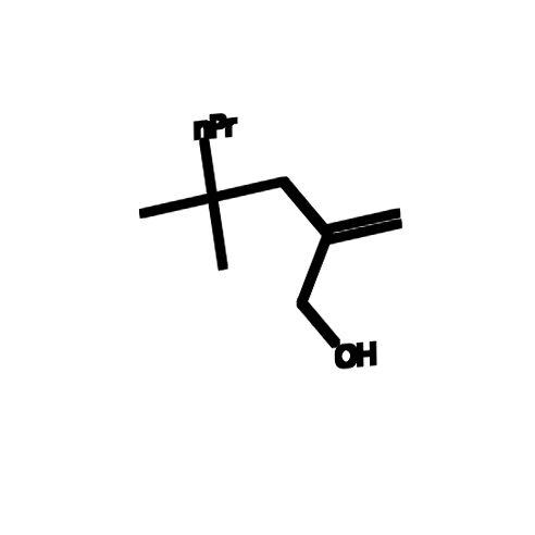 C=C(CO)CC(C)(C)CCC